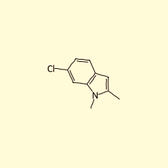 Cc1cc2ccc(Cl)cc2n1C